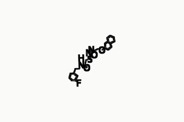 O=C(CSc1nnc(COc2ccc3ccccc3c2)o1)NCCc1cccc(F)c1